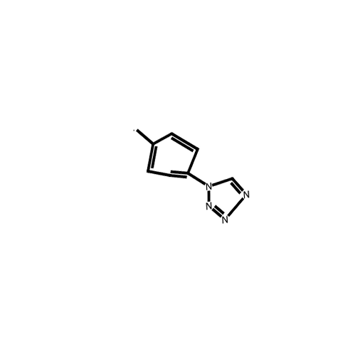 [CH2]c1ccc(-n2cnnn2)cc1